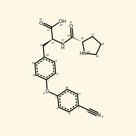 N#Cc1ccc(Oc2ccc(C[C@H](NC(=O)[C@@H]3CCCN3)C(=O)O)cc2)cc1